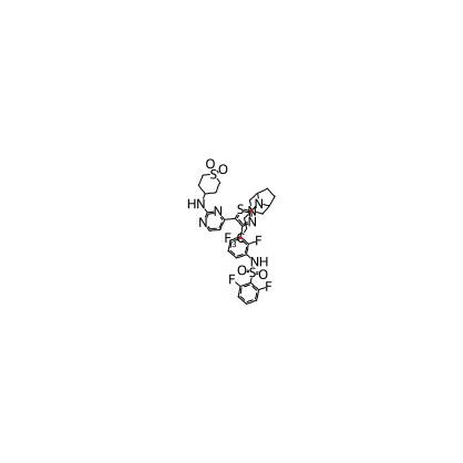 O=S1(=O)CCC(Nc2nccc(-c3sc(N4C5CCC4CN(CCC(F)(F)F)C5)nc3-c3cccc(NS(=O)(=O)c4c(F)cccc4F)c3F)n2)CC1